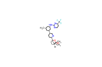 Cc1cc(Nc2nccc(C(F)(F)F)n2)cc(-c2ccc(C34CC[C@H](C(=O)O3)C(C)(C)C4)nc2)c1